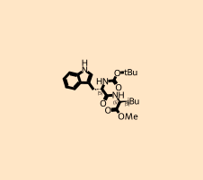 CC[C@H](C)[C@H](NC(=O)[C@H](Cc1c[nH]c2ccccc12)NC(=O)OC(C)(C)C)C(=O)OC